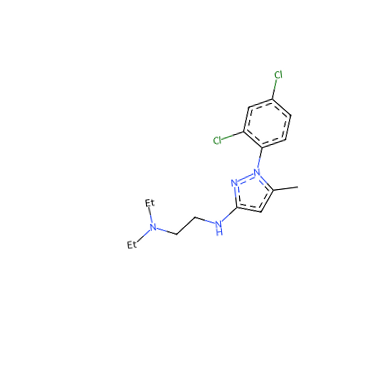 CCN(CC)CCNc1cc(C)n(-c2ccc(Cl)cc2Cl)n1